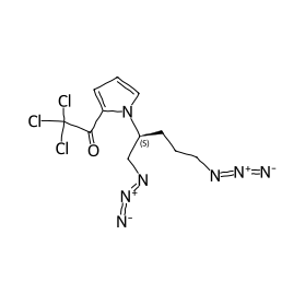 [N-]=[N+]=NCCC[C@@H](CN=[N+]=[N-])n1cccc1C(=O)C(Cl)(Cl)Cl